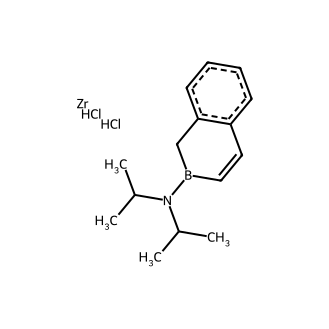 CC(C)N(B1C=Cc2ccccc2C1)C(C)C.Cl.Cl.[Zr]